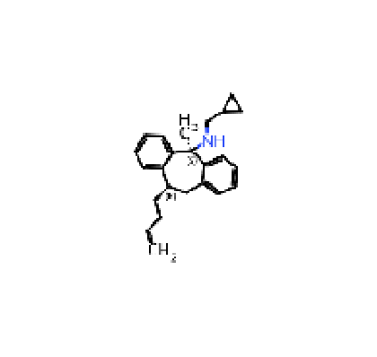 C=CCC[C@@H]1Cc2ccccc2[C@](C)(NCC2CC2)c2ccccc21